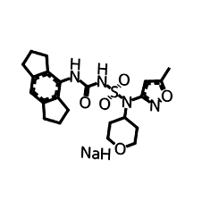 Cc1cc(N(C2CCOCC2)S(=O)(=O)NC(=O)Nc2c3c(cc4c2CCC4)CCC3)no1.[NaH]